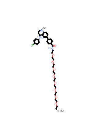 CC(=O)NCCOCCOCCOCCOCCOCCOCCOCCOCCNC(=O)c1ccc(-c2ccc3c(c2)[C@@](C)(Nc2ccc(Cl)cc2)C[C@H](C)N3C(C)=O)cc1